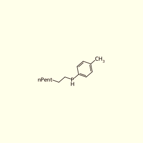 CCCCCCCPc1ccc(C)cc1